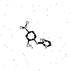 Cc1cc([N+](=O)[O-])ccc1N=c1[nH]ccs1